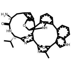 Cc1nc2oc1-c1c[nH]c3cccc(c13)-c1cccc3c1NC1Oc4ccc5cc4C31c1oc(nc1-2)[C@H](C(C)C)NC(=O)[C@@H](N)C5